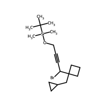 CC(C)(C)[Si](C)(C)OCC#CC(Br)C1(CC2CC2)CCC1